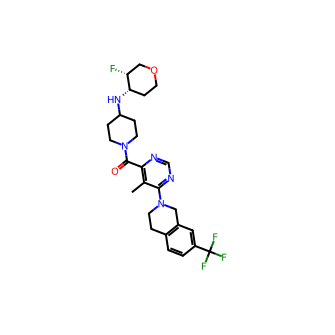 Cc1c(C(=O)N2CCC(N[C@H]3CCOC[C@H]3F)CC2)ncnc1N1CCc2ccc(C(F)(F)F)cc2C1